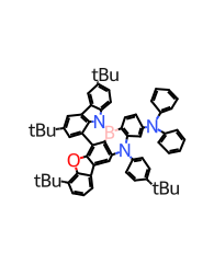 CC(C)(C)c1ccc(N2c3cc(N(c4ccccc4)c4ccccc4)ccc3B3c4c2cc2c(oc5c(C(C)(C)C)cccc52)c4-c2cc(C(C)(C)C)cc4c5cc(C(C)(C)C)ccc5n3c24)cc1